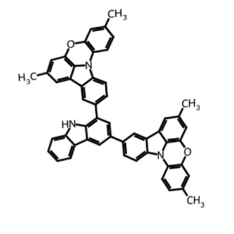 Cc1ccc2c(c1)Oc1cc(C)cc3c4cc(-c5cc(-c6ccc7c(c6)c6cc(C)cc8c6n7-c6ccc(C)cc6O8)c6[nH]c7ccccc7c6c5)ccc4n-2c13